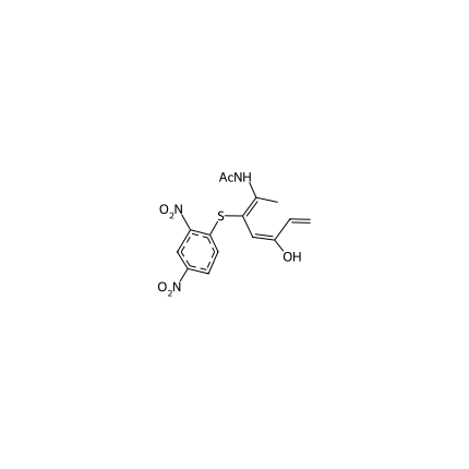 C=C/C(O)=C\C(Sc1ccc([N+](=O)[O-])cc1[N+](=O)[O-])=C(/C)NC(C)=O